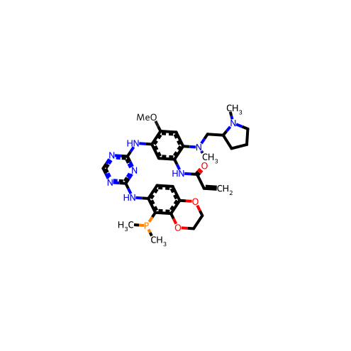 C=CC(=O)Nc1cc(Nc2ncnc(Nc3ccc4c(c3P(C)C)OCCO4)n2)c(OC)cc1N(C)CC1CCCN1C